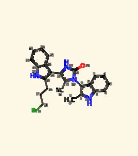 Cc1[nH]c2ccccc2c1-n1c(C#N)c(-c2c(CCCBr)[nH]c3ccccc23)[nH]c1=O